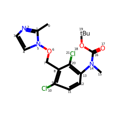 Cc1nccn1OCc1c(Cl)ccc(N(C)C(=O)OC(C)(C)C)c1Cl